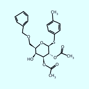 CC(=O)O[C@@H]1[C@@H](OC(C)=O)[C@@H](O)[C@@H](COCc2ccccc2)O[C@H]1Sc1ccc(C)cc1